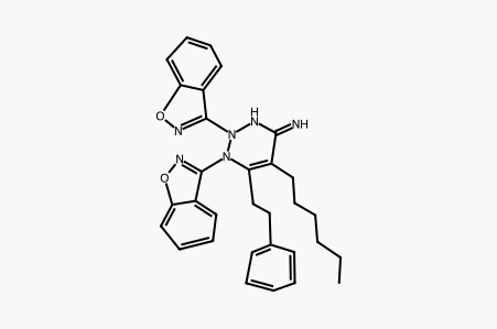 CCCCCCC1=C(CCc2ccccc2)N(c2noc3ccccc23)N(c2noc3ccccc23)NC1=N